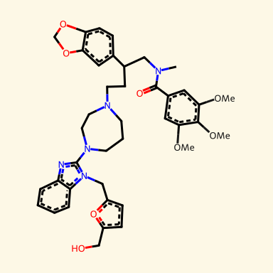 COc1cc(C(=O)N(C)CC(CCN2CCCN(c3nc4ccccc4n3Cc3ccc(CO)o3)CC2)c2ccc3c(c2)OCO3)cc(OC)c1OC